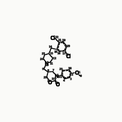 COc1ccc(N2CC(CN3CCC(Cc4cc(Cl)ccc4Cl)CC3)COC2=O)cc1